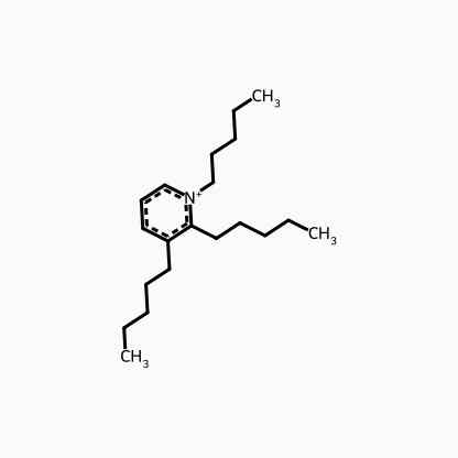 CCCCCc1ccc[n+](CCCCC)c1CCCCC